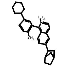 Cc1ccc(C2CCCCC2)cc1-c1c2ccc(C3CC4CCC3C4)cc2cc[n+]1C